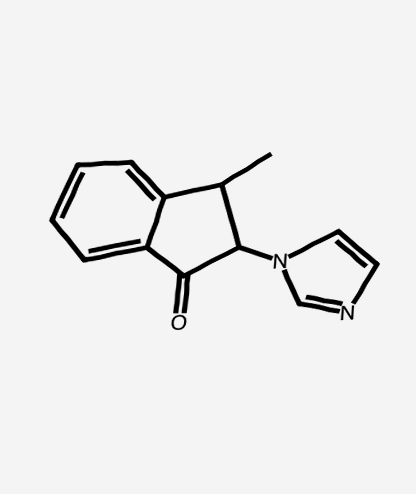 CC1c2ccccc2C(=O)C1n1ccnc1